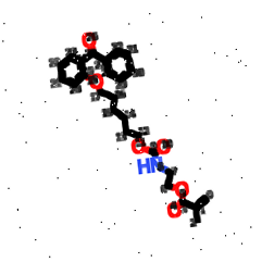 C=C(C)C(=O)OCCNC(=O)OCCCCCCOc1ccccc1C(=O)c1ccccc1